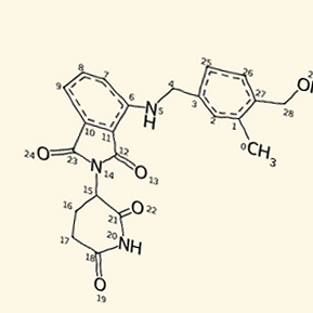 Cc1cc(CNc2cccc3c2C(=O)N(C2CCC(=O)NC2=O)C3=O)ccc1CO